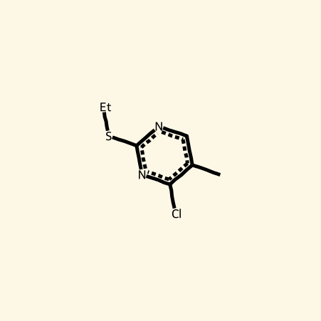 CCSc1ncc(C)c(Cl)n1